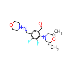 C[C@@H]1CN(c2c(C=O)cc(C=NN3CCOCC3)c(F)c2F)C[C@H](C)O1